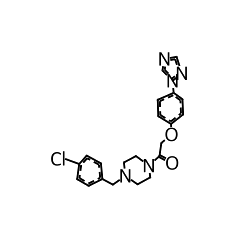 O=C(COc1ccc(-n2cncn2)cc1)N1CCN(Cc2ccc(Cl)cc2)CC1